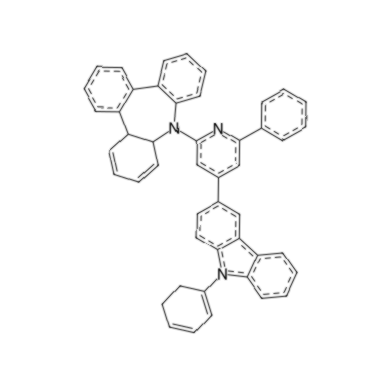 C1=CCCC(n2c3ccccc3c3cc(-c4cc(-c5ccccc5)nc(N5c6ccccc6-c6ccccc6C6C=CC=CC65)c4)ccc32)=C1